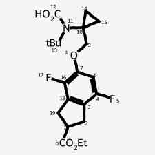 CCOC(=O)C1Cc2c(F)cc(OCC3(N(C(=O)O)C(C)(C)C)CC3)c(F)c2C1